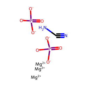 N#CN.O=P([O-])([O-])[O-].O=P([O-])([O-])[O-].[Mg+2].[Mg+2].[Mg+2]